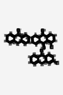 O=C1c2ccccc2C(=O)c2c(Cl)cccc21.[O-][S+]1c2ccccc2Cc2cc(Cl)ccc21.[O-][S+]1c2ccccc2Cc2ccccc21